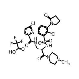 CN1CCN(C(=O)[C@H](CNC(=O)c2ccc(Cl)s2)NS(=O)(=O)c2cccc(N3CCCC3=O)c2Cl)CC1.O=C(O)C(F)(F)F